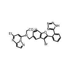 CCc1cc(N(CC(=O)O)Cc2ccc3oc(-c4ccccc4-c4nnn[nH]4)c(Br)c3c2)n2nccc2n1